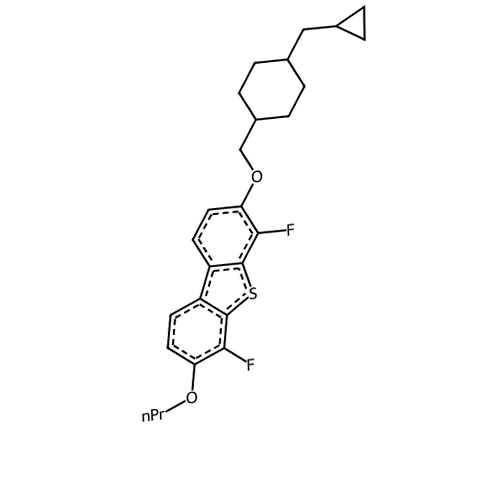 CCCOc1ccc2c(sc3c(F)c(OCC4CCC(CC5CC5)CC4)ccc32)c1F